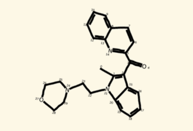 Cc1c(C(=O)c2ccc3ccccc3n2)c2ccccc2n1CCN1CCOCC1